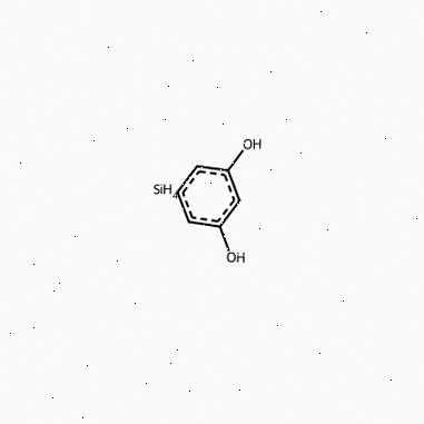 Oc1cccc(O)c1.[SiH4]